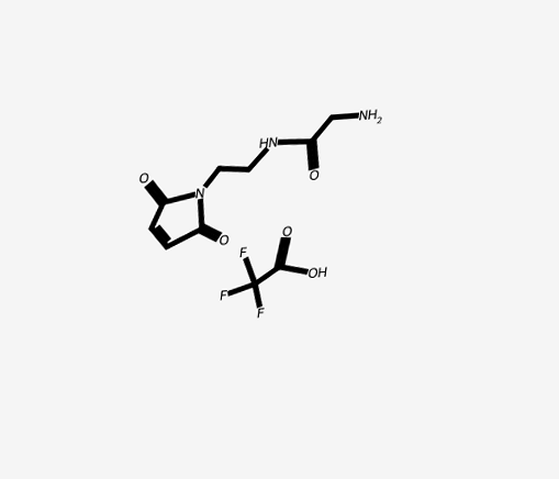 NCC(=O)NCCN1C(=O)C=CC1=O.O=C(O)C(F)(F)F